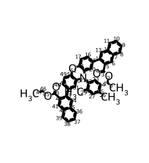 CCOC(=O)c1cc2ccccc2cc1-c1ccc2c(c1)N(c1ccc(C)cc1C)c1cc(-c3cc4ccccc4cc3C(=O)OCC)ccc1O2